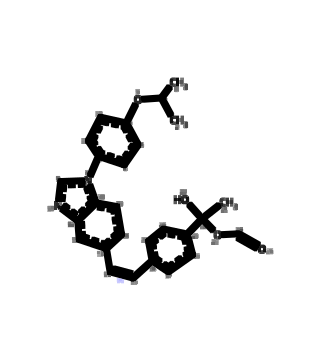 CC(C)Oc1ccc(-n2cnc3cc(/C=C\c4ccc(C(C)(O)OC=O)cc4)ccc32)cc1